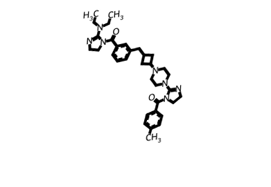 CCN(CC)C1=NCCN1C(=O)c1cccc(CC2CC(N3CCN(C4=NCCN4C(=O)c4ccc(C)cc4)CC3)C2)c1